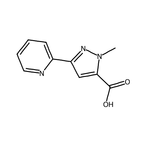 Cn1nc(-c2ccccn2)cc1C(=O)O